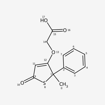 CC1(c2ccccc2)SC(=O)C=C1OCC(=O)O